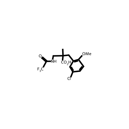 COc1ccc(Cl)cc1CC(C)(CNC(=O)C(F)(F)F)C(=O)O